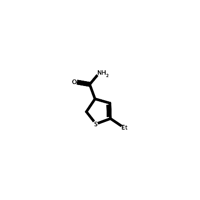 CCC1=CC(C(N)=O)CS1